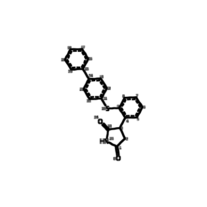 O=C1CC(c2ccccc2Sc2ccc(-c3ccccc3)cc2)C(=O)N1